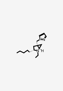 CCCCC[C@@H]1C[C@@]2(Cn3cccn3)C[C@H]2N1CC